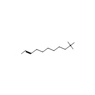 CCCCCCCC/C=C/CCCCCCC(C)(C)C(=O)O